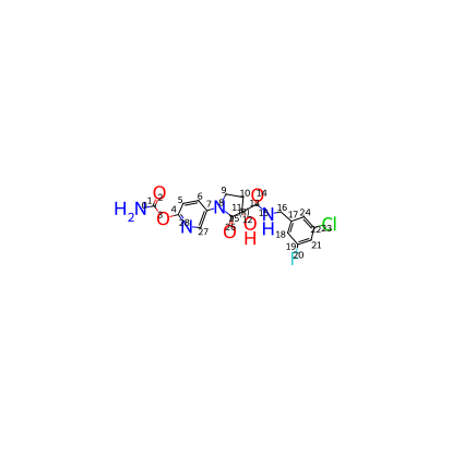 NC(=O)Oc1ccc(N2CC[C@@](O)(C(=O)NCc3cc(F)cc(Cl)c3)C2=O)cn1